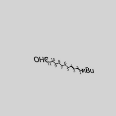 CCCCC=CC=CCCCCCCCC=O